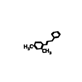 Cc1ccc(C=CCc2ccccc2)c(C)c1